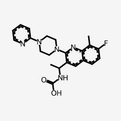 Cc1c(F)ccc2cc(C(C)NC(=O)O)c(N3CCN(c4ccccn4)CC3)nc12